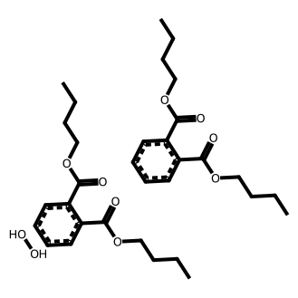 CCCCOC(=O)c1ccccc1C(=O)OCCCC.CCCCOC(=O)c1ccccc1C(=O)OCCCC.OO